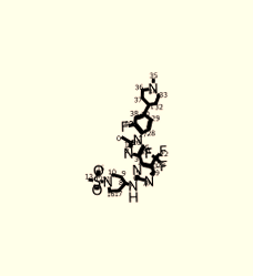 Cc1nc(-c2nc(NC3CCN(S(C)(=O)=O)CC3)ncc2C(F)(F)F)cn1-c1ccc(C2CCN(C)CC2)cc1F